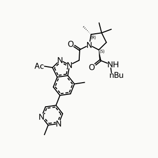 CCCCNC(=O)[C@@H]1CC(C)(C)[C@@H](C)N1C(=O)Cn1nc(C(C)=O)c2cc(-c3cnc(C)nc3)cc(C)c21